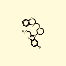 CCc1nc2ccc(F)cc2n1C1CCCN(CC2COc3ccccc3O2)C1